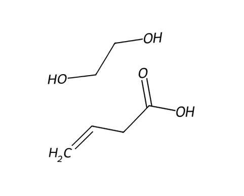 C=CCC(=O)O.OCCO